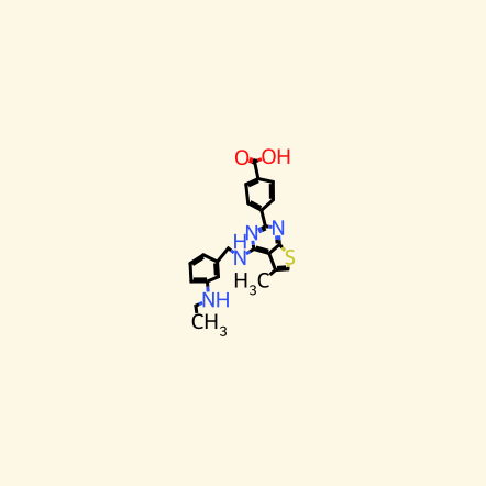 CCNc1cccc(CNc2nc(-c3ccc(C(=O)O)cc3)nc3scc(C)c23)c1